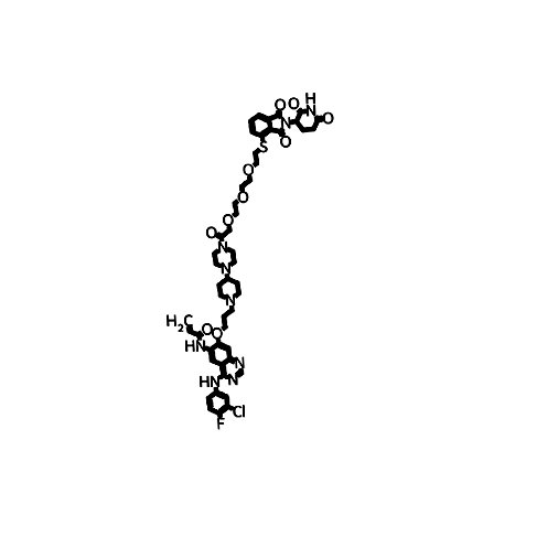 C=CC(=O)Nc1cc2c(Nc3ccc(F)c(Cl)c3)ncnc2cc1OCCCN1CCC(N2CCN(C(=O)COCCOCCOCCSc3cccc4c3C(=O)N(C3CCC(=O)NC3=O)C4=O)CC2)CC1